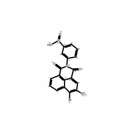 O=C1c2cccc3c(Br)c([N+](=O)[O-])cc(c23)C(=O)N1c1cccc([N+](=O)O)c1